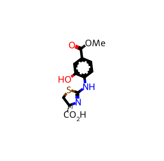 COC(=O)c1ccc(NC2=N[C@H](C(=O)O)CS2)c(O)c1